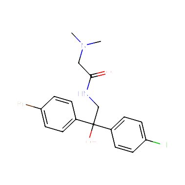 CN(C)CC(=O)NCC(O)(c1ccc(Cl)cc1)c1ccc(Br)cc1